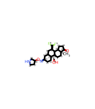 C[C@]12CCC3C(C(=C(F)F)CC4CC(=NOC5CCNC5)CC[C@@]43CO)C1CCC2=O